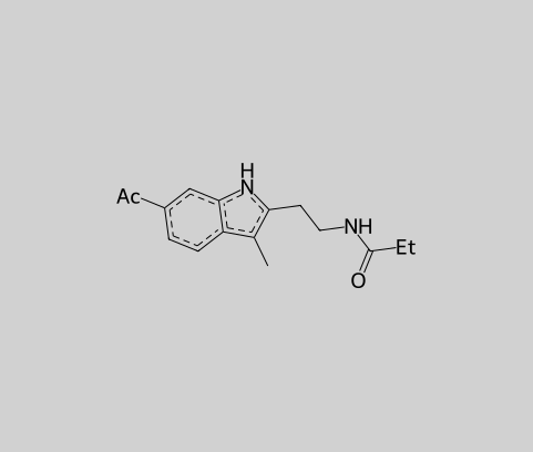 CCC(=O)NCCc1[nH]c2cc(C(C)=O)ccc2c1C